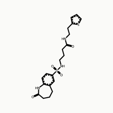 O=C(CCCNS(=O)(=O)c1ccc2c(c1)CCCC(=O)N2)NCCc1cccs1